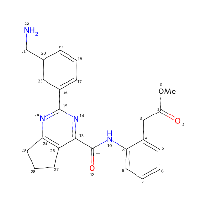 COC(=O)Cc1ccccc1NC(=O)c1nc(-c2cccc(CN)c2)nc2c1CCC2